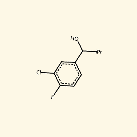 CC(C)C(O)c1ccc(F)c(Cl)c1